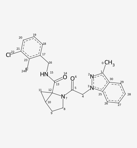 Cc1nn(CC(=O)N2CCC3CC32C(=O)NCc2cccc(Cl)c2F)c2ccccc12